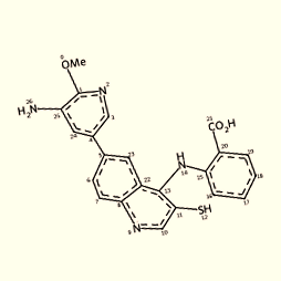 COc1ncc(-c2ccc3ncc(S)c(Nc4ccccc4C(=O)O)c3c2)cc1N